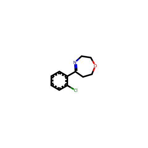 Clc1ccccc1C1=NCCOCC1